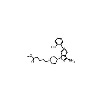 COC(=O)CCCCN1CCC(n2nc(N)c3nnc(-c4ccccc4O)cc32)CC1